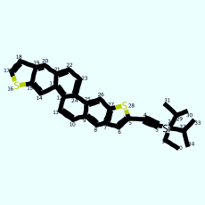 CC[Si](C#Cc1cc2cc3ccc4c5cc6sccc6cc5ccc4c3cc2s1)(C(C)C)C(C)C